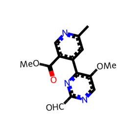 COC(=O)c1cnc(C)cc1-c1nc(C=O)ncc1OC